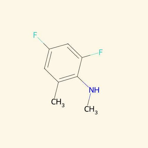 CNc1c(C)cc(F)cc1F